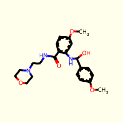 COc1ccc(C(O)Nc2cc(OC)ccc2C(=O)NCCN2CCOCC2)cc1